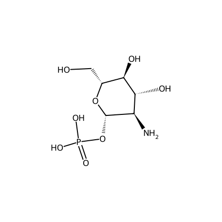 N[C@H]1[C@H](OP(=O)(O)O)O[C@H](CO)[C@@H](O)[C@@H]1O